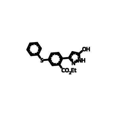 CCOC(=O)c1cc(Sc2ccccc2)ccc1-c1cc(O)[nH]n1